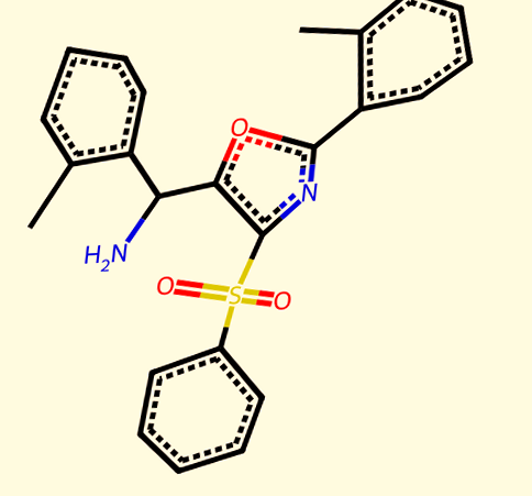 Cc1ccccc1-c1nc(S(=O)(=O)c2ccccc2)c(C(N)c2ccccc2C)o1